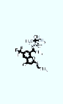 CCSc1cc(=O)c2cc(C(F)(F)F)cc(/C(C)=N/[S+]([O-])C(C)(C)C)c2o1